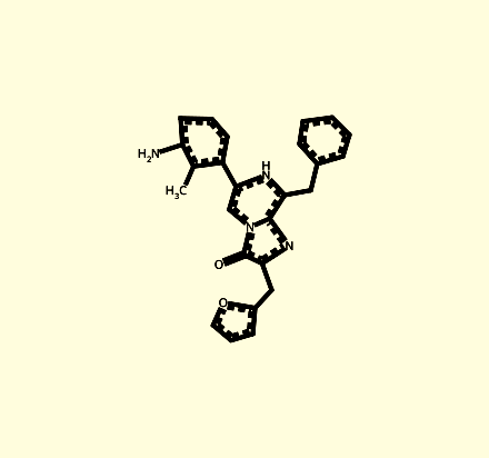 Cc1c(N)cccc1-c1cn2c(=O)c(Cc3ccco3)nc-2c(Cc2ccccc2)[nH]1